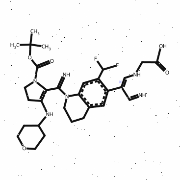 CC(C)(C)OC(=O)N1CCC(NC2CCOCC2)=C1C(=N)N1CCCc2cc(/C(C=N)=C/NCC(=O)O)c(C(F)F)cc21